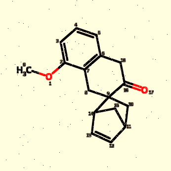 COc1cccc2c1CC1(CC3C=CC1C3)C(=O)C2